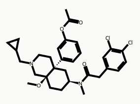 CO[C@]12CC[C@H](N(C)C(=O)Cc3ccc(Cl)c(Cl)c3)C[C@]1(c1cccc(OC(C)=O)c1)CCN(CC1CC1)C2